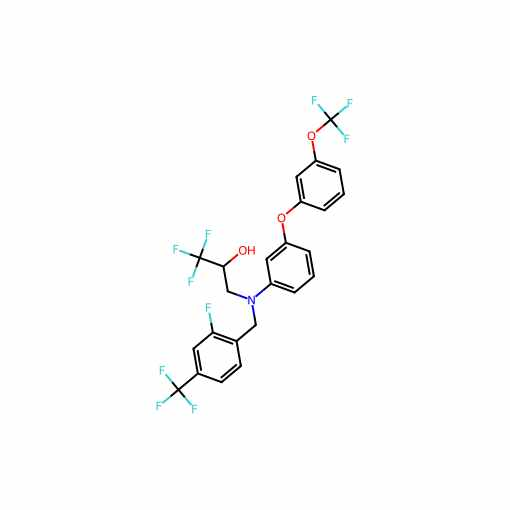 OC(CN(Cc1ccc(C(F)(F)F)cc1F)c1cccc(Oc2cccc(OC(F)(F)F)c2)c1)C(F)(F)F